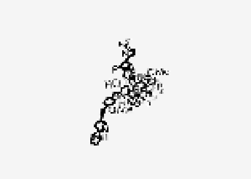 COC(=O)N[C@H](C(=O)N[C@@H](Cc1ccc(C#Cc2ccc(N3CC4CCC(C3)N4)nc2)cc1)[C@@H](O)CN(Cc1c(F)cc(-c2ccn(C(F)F)n2)cc1F)NC(=O)[C@@H](NC(=O)OC)C(C)(C)C(F)(F)F)C(C)(C)C(F)(F)F